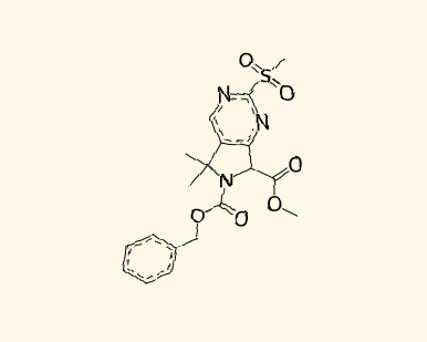 COC(=O)C1c2nc(S(C)(=O)=O)ncc2C(C)(C)N1C(=O)OCc1ccccc1